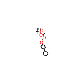 CCC(C)(C)C(=O)OC(C)OCCOc1ccc(C2CCCCC2)cc1